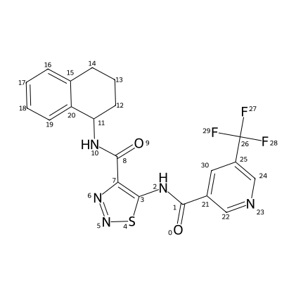 O=C(Nc1snnc1C(=O)NC1CCCc2ccccc21)c1cncc(C(F)(F)F)c1